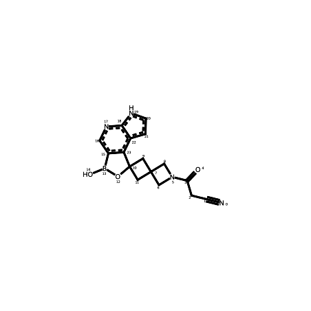 N#CCC(=O)N1CC2(C1)CC1(C2)OB(O)c2cnc3[nH]ccc3c21